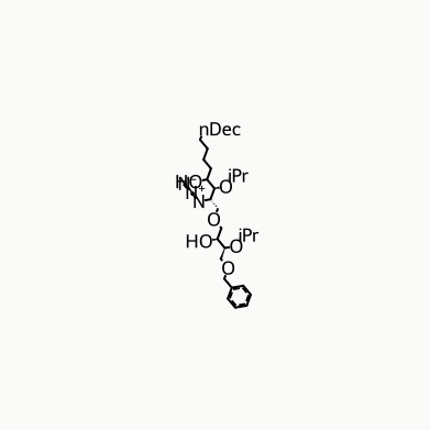 CCCCCCCCCCCCCCC(O)[C@@H](OC(C)C)[C@H](COC[C@H](O)[C@H](COCc1ccccc1)OC(C)C)N=[N+]=[N-]